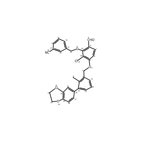 Cc1c(COc2ccc(C=O)c(OCc3cccc(C#N)c3)c2Cl)cccc1-c1ccc2c(c1)OCCO2